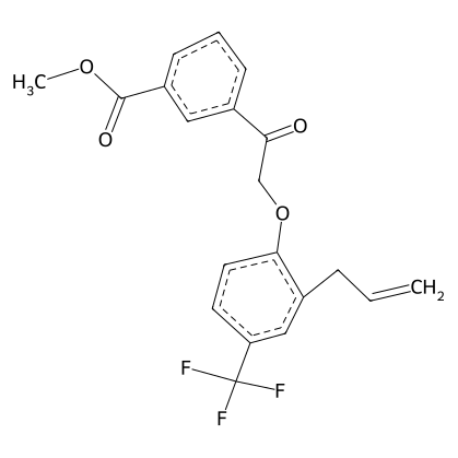 C=CCc1cc(C(F)(F)F)ccc1OCC(=O)c1cccc(C(=O)OC)c1